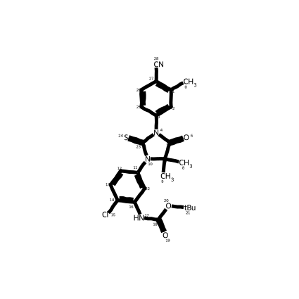 Cc1cc(N2C(=O)C(C)(C)N(c3ccc(Cl)c(NC(=O)OC(C)(C)C)c3)C2=S)ccc1C#N